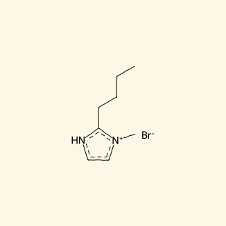 CCCCc1[nH]cc[n+]1C.[Br-]